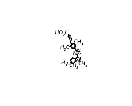 Cc1cc(-c2noc(-c3nn(C)c4c3CCC(C)(C)C4)n2)cc(C)c1CCN1CC(C(=O)O)C1